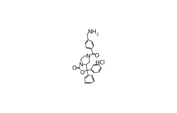 Cl.NCc1ccc(C(=O)N2CCN3C(=O)OC(c4ccccc4)(c4ccccc4)C3C2)cc1